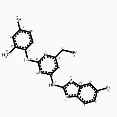 CCc1ccc2nc(Nc3cc(CC(C)C)nc(Nc4ccc(S)cc4C)n3)sc2c1